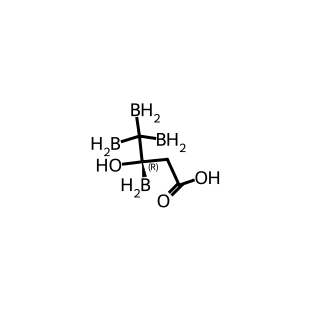 BC(B)(B)[C@@](B)(O)CC(=O)O